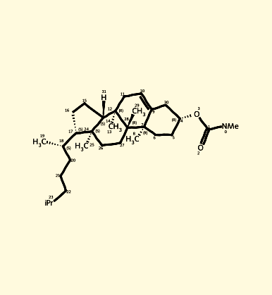 CNC(=O)O[C@@H]1CC[C@]2(C)C(=CC[C@]3(C)[C@H]4CC[C@@H]([C@@H](C)CCCC(C)C)[C@]4(C)CC[C@@]23C)C1